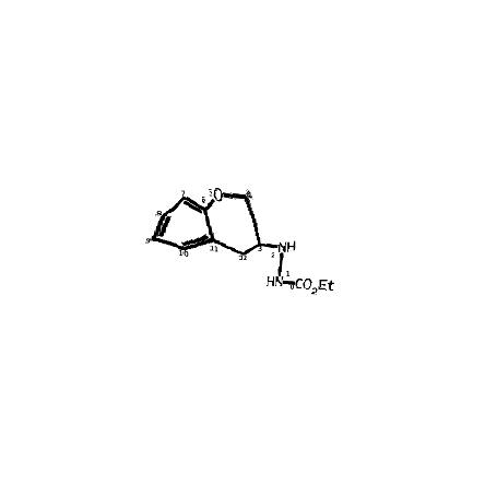 CCOC(=O)NNC1COc2ccccc2C1